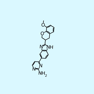 COc1cccc2c1OCC(c1nc3cc(-c4ccnc(N)n4)ccc3[nH]1)C2